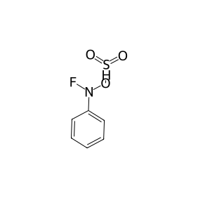 O=[SH](=O)ON(F)c1ccccc1